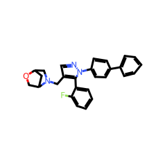 Fc1ccccc1-c1c(CN2CC3CC2CO3)cnn1-c1ccc(-c2ccccc2)cc1